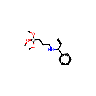 C=CC(NCCC[Si](OC)(OC)OC)c1ccccc1